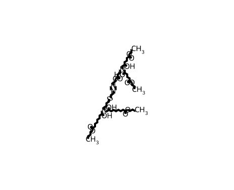 CCCCOC(=O)CCCCCCC(O)CN(CCCCSSCCN1CCN(CCOC(=O)CCCN(CC(O)CCCC(=O)OCCC)CC(O)CCCC(=O)OCCC)CC1)CC(O)CCCCCCC(=O)OCCCC